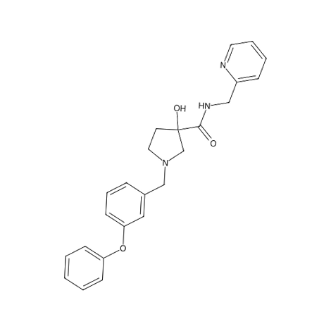 O=C(NCc1ccccn1)C1(O)CCN(Cc2cccc(Oc3ccccc3)c2)C1